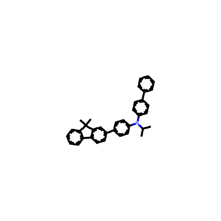 CC(C)N(c1ccc(-c2ccccc2)cc1)c1ccc(-c2ccc3c(c2)C(C)(C)c2ccccc2-3)cc1